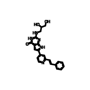 O=c1[nH]c(NCC(O)CO)nc2[nH]c(-c3ccnc(C=Cc4ccccc4)c3)cc12